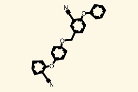 N#Cc1ccccc1Oc1ccc(OCc2ccc(Oc3ccccc3)c(C#N)c2)cc1